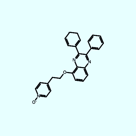 [O-][n+]1ccc(CCOc2cccc3nc(-c4ccccc4)c(C4=CC[CH]C=C4)nc23)cc1